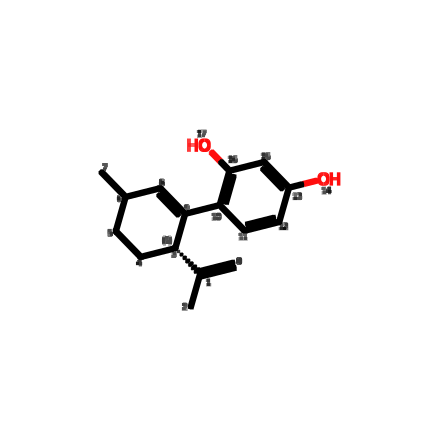 C=C(C)[C@@H]1CCC(C)C=C1c1ccc(O)cc1O